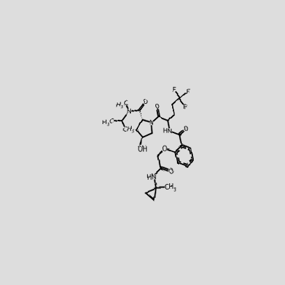 CC(C)N(C)C(=O)[C@H]1C[C@H](O)CN1C(=O)C(CCC(F)(F)F)NC(=O)c1ccccc1OCC(=O)NC1(C)CC1